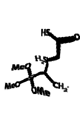 [CH2]C([SiH2]CC(=O)S)[Si](OC)(OC)OC